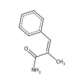 CC(=Cc1ccccc1)C(N)=O